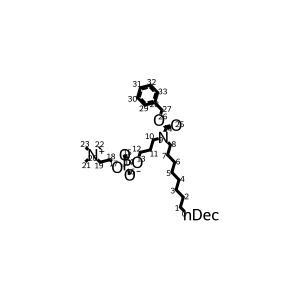 CCCCCCCCCCCCCCCCCCN(CCCOP(=O)([O-])OCC[N+](C)(C)C)C(=O)OCc1ccccc1